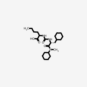 CCCCC(NC(=O)N[C@H](CC1CCCCC1)C(=O)N(C)C1CCCCC1)C(=O)O